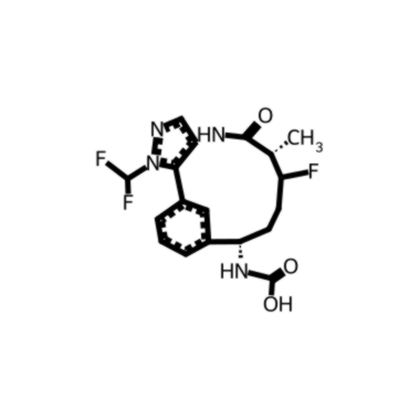 C[C@H]1C(=O)Nc2cnn(C(F)F)c2-c2cccc(c2)[C@@H](NC(=O)O)CCC1F